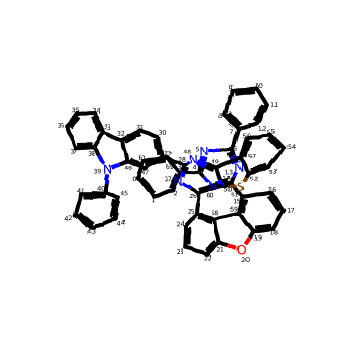 c1ccc(-c2nc(-c3ccccc3)nc(-c3cccc4oc5cccc(-c6nc(-c7ccc8c9ccccc9n(-c9ccccc9)c8c7)nc7c6sc6ccccc67)c5c34)n2)cc1